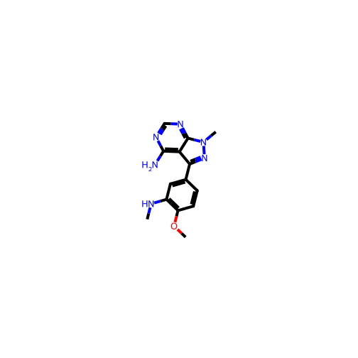 CNc1cc(-c2nn(C)c3ncnc(N)c23)ccc1OC